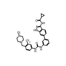 CCN1CCN(Cc2ccc(NC(=O)Nc3cccc(-c4ccc5c(NC(=O)C6CC6)n[nH]c5c4)c3)cc2C(F)(F)F)CC1